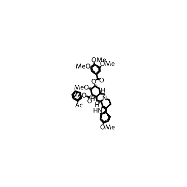 CC(=O)c1ccccc1.COC(=O)[C@H]1[C@H]2C[C@@H]3c4[nH]c5cc(OC)ccc5c4CCN3C[C@H]2C[C@@H](OC(=O)c2cc(OC)c(OC)c(OC)c2)[C@@H]1OC